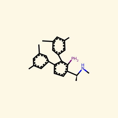 CN[C@@H](C)c1ccc(-c2cc(C)cc(C)c2)c(-c2cc(C)cc(C)c2)c1P